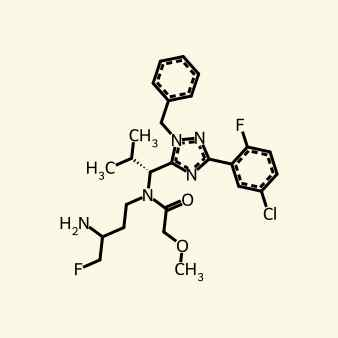 COCC(=O)N(CCC(N)CF)[C@@H](c1nc(-c2cc(Cl)ccc2F)nn1Cc1ccccc1)C(C)C